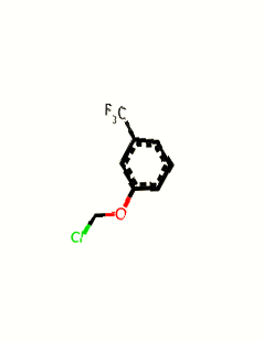 FC(F)(F)c1cccc(OCCl)c1